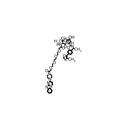 Cc1ncoc1-c1ccc(C(C)NC(=O)[C@@H]2C[C@@H](O)CN2C(=O)C(NC(=O)COCCOCCOCCOCC(=O)N2CCN(c3ccn4c(n3)nc3ccccc34)CC2)C(C)(C)C)cc1